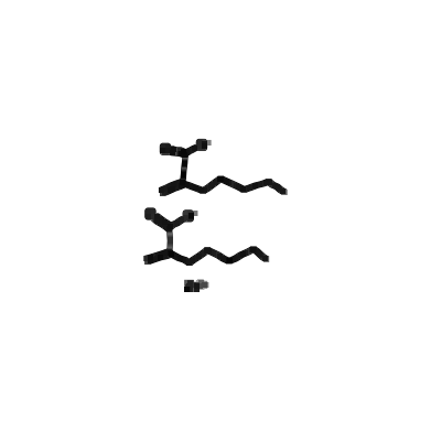 C=C(CCCCC)C(=O)[O-].C=C(CCCCC)C(=O)[O-].[Zn+2]